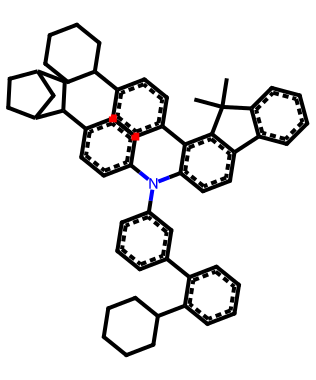 CC1(C)c2ccccc2-c2ccc(N(c3ccc(C4CC5CCC4C5)cc3)c3cccc(-c4ccccc4C4CCCCC4)c3)c(-c3ccc(C4CCCCC4)cc3)c21